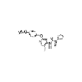 COc1ccc(Oc2ncc(F)c(NC(=O)NC3C=CSC3)n2)cc1